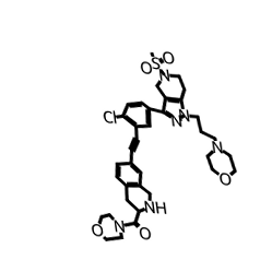 CS(=O)(=O)N1CCc2c(c(-c3ccc(Cl)c(C#Cc4ccc5c(c4)CNC(C(=O)N4CCOCC4)C5)c3)nn2CCCN2CCOCC2)C1